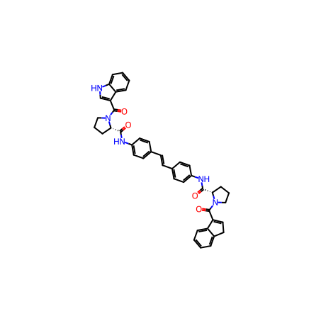 O=C(Nc1ccc(/C=C/c2ccc(NC(=O)[C@@H]3CCCN3C(=O)c3c[nH]c4ccccc34)cc2)cc1)[C@@H]1CCCN1C(=O)C1=CCc2ccccc21